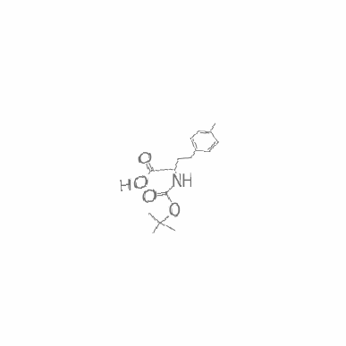 Cc1ccc(CCC(NC(=O)OC(C)(C)C)C(=O)O)cc1